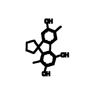 Cc1cc2c(cc1O)C1(CCCC1)c1c(C)c(O)cc(O)c1-2